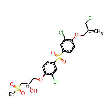 CCS(=O)(=O)C[C@@H](O)COc1ccc(S(=O)(=O)c2ccc(OC[C@H](C)CCl)c(Cl)c2)cc1Cl